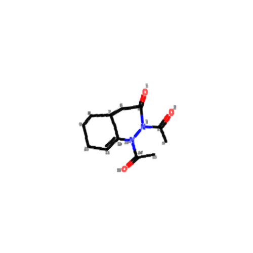 CC(=O)N1C(=O)CC2CCCC=C2N1C(C)=O